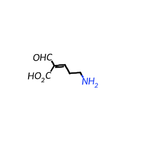 NCCC=C(C=O)C(=O)O